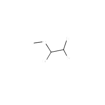 [Ti][O]C(Br)C(Br)Br